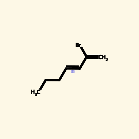 C=C(Br)/C=C/CCC